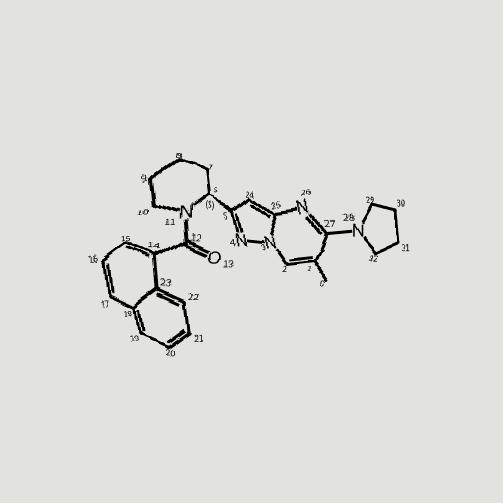 Cc1cn2nc([C@@H]3CCCCN3C(=O)c3cccc4ccccc34)cc2nc1N1CCCC1